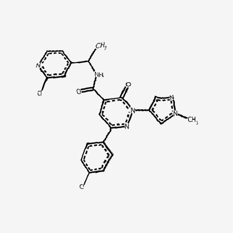 CC(NC(=O)c1cc(-c2ccc(Cl)cc2)nn(-c2cnn(C)c2)c1=O)c1ccnc(Cl)c1